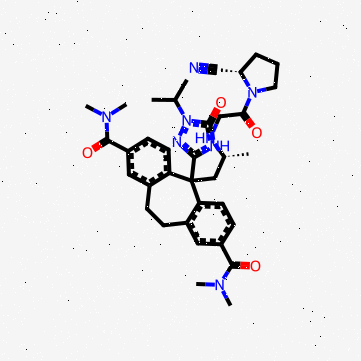 CC(C)n1nc(C2(C[C@@H](C)NCC(=O)N3CCC[C@H]3C#N)c3ccc(C(=O)N(C)C)cc3CCc3cc(C(=O)N(C)C)ccc32)[nH]c1=O